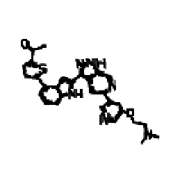 CC(=O)c1ccc(-c2cccc3[nH]c(-c4n[nH]c5cnc(-c6cncc(OCCN(C)C)c6)cc45)cc23)s1